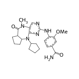 COc1cc(C(N)=O)ccc1Nc1ncc2c(n1)N(C1CCCC1)C1CCCC1C(=O)N2C